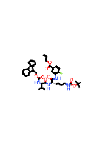 C=CCOC(=O)c1ccc(F)c(NC(=O)[C@H](CCCCNC(=O)OC(C)(C)C)NC(=O)[C@@H](NC(=O)OCC2c3ccccc3-c3ccccc32)C(C)C)c1